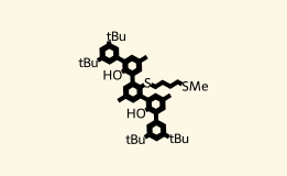 CSCCCCSc1c(-c2cc(C)cc(-c3cc(C(C)(C)C)cc(C(C)(C)C)c3)c2O)cc(C)cc1-c1cc(C)cc(-c2cc(C(C)(C)C)cc(C(C)(C)C)c2)c1O